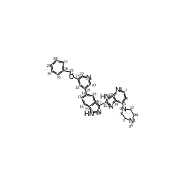 CN1CCN(c2ccnc3[nH]c(-c4n[nH]c5ccc(-c6cncc(OCc7ccccc7)c6)cc45)nc23)CC1